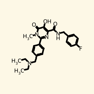 CCN(CC)Cc1ccc(-c2nc(C(=O)NCc3ccc(F)cc3)c(O)c(=O)n2C)cc1